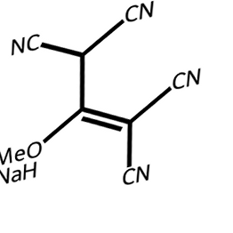 COC(=C(C#N)C#N)C(C#N)C#N.[NaH]